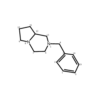 c1ccc(CN2CCN3CCCC3C2)cc1